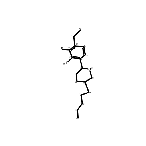 CCCCCC1CCC(c2ccc(CC)c(C)c2F)OC1